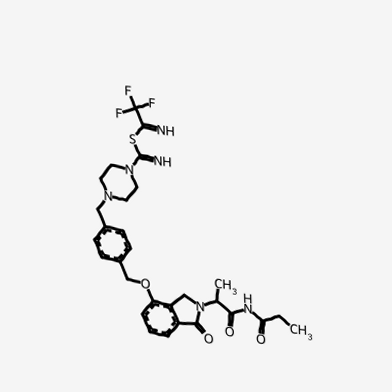 CCC(=O)NC(=O)C(C)N1Cc2c(OCc3ccc(CN4CCN(C(=N)SC(=N)C(F)(F)F)CC4)cc3)cccc2C1=O